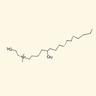 CCCCCCCCCCCC(O)CCCC[N+](C)(C)CCO